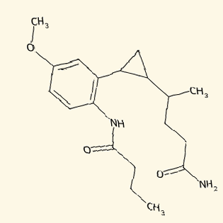 CCCC(=O)Nc1ccc(OC)cc1C1CC1C(C)CCC(N)=O